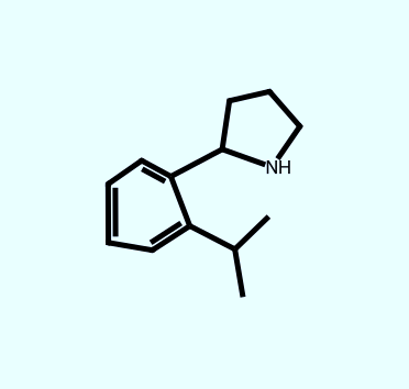 CC(C)c1ccccc1C1CCCN1